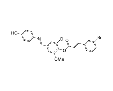 COc1cc(/C=N/c2ccc(O)cc2)cc(Cl)c1OC(=O)/C=C/c1cccc(Br)c1